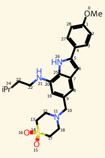 COc1ccc(-c2cc3cc(CN4CCS(=O)(=O)CC4)cc(NCCC(C)C)c3[nH]2)cc1